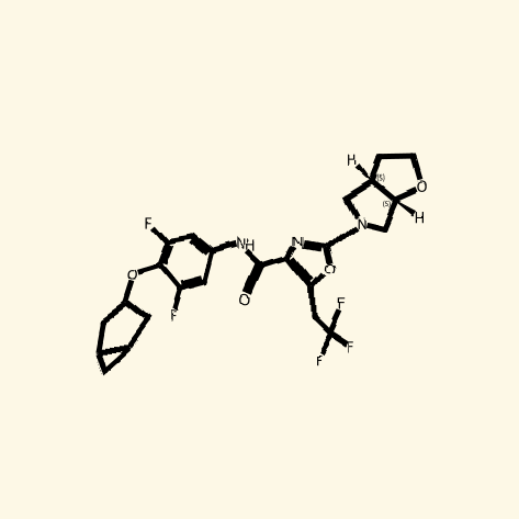 O=C(Nc1cc(F)c(OC2CC3CC3C2)c(F)c1)c1nc(N2C[C@@H]3CCO[C@@H]3C2)oc1CC(F)(F)F